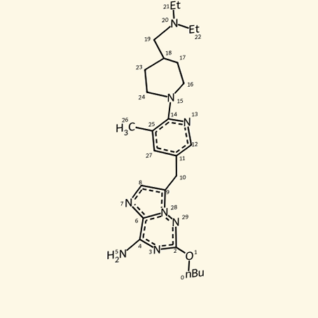 CCCCOc1nc(N)c2ncc(Cc3cnc(N4CCC(CN(CC)CC)CC4)c(C)c3)n2n1